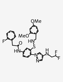 COc1ccc(CNSc2cc(NC(=O)Cc3ccccc3F)ccc2-n2cc(NCC(F)F)cn2)c(OC)c1